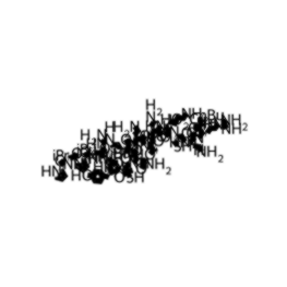 CCCC[C@H](NC(=O)[C@H](CCCNC(=N)N)NC(=O)[C@H](CCN)NC(=O)[C@H](CS)NC(=O)[C@H](CCCCN)NC(=O)[C@@H](CCN)NC(=O)[C@@H](NC(=O)[C@H](CCN)NC(=O)[C@H](CCCNC(=N)N)NC(=O)[C@H](CC(N)=O)NC(=O)[C@@H](NC(=O)[C@H](Cc1ccc(O)cc1)NC(=O)[C@@H](NC(=O)[C@@H](NC(=O)[C@@H]1CCCN1C(=O)[C@@H](NC(=O)[C@@H]1CCCN1)C(C)C)[C@@H](C)CC)[C@@H](C)CC)C(C)(C)S)[C@@H](C)O)C(=O)O